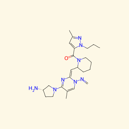 C=NN1C=C(C)C(N2CC[C@H](N)C2)=N/C1=C/C1CCCCN1C(=O)c1cc(C)nn1CCC